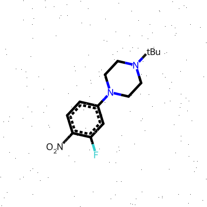 CC(C)(C)N1CCN(c2ccc([N+](=O)[O-])c(F)c2)CC1